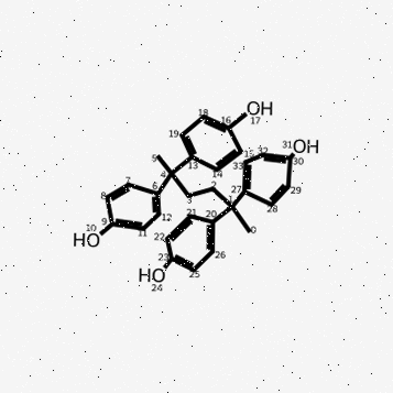 CC(CCC(C)(c1ccc(O)cc1)c1ccc(O)cc1)(c1ccc(O)cc1)c1ccc(O)cc1